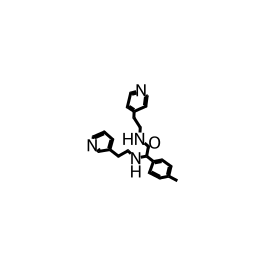 Cc1ccc(C(NCCc2cccnc2)C(=O)NCCc2ccncc2)cc1